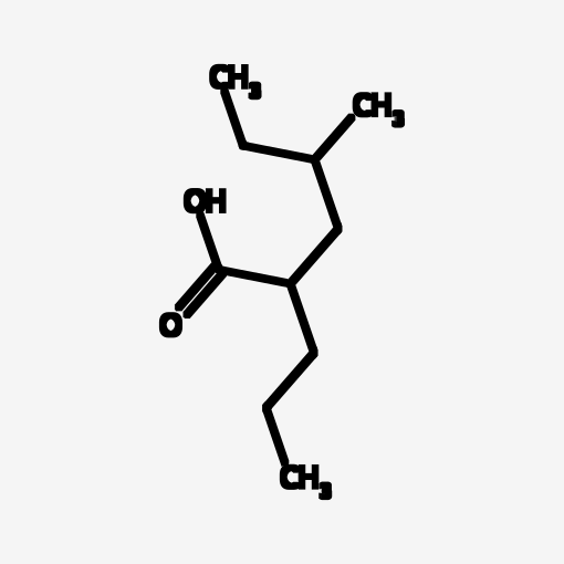 CCCC(CC(C)CC)C(=O)O